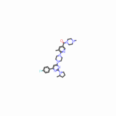 Cc1cc(C(=O)N2CCN(C)CC2)cnc1N1CCN(c2cc(-c3ccc(F)cc3)nc(N3CCCC3C)n2)CC1